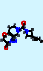 BC1CN(C(=O)N2CCC3=C(C2)NC(=O)CO3)C1